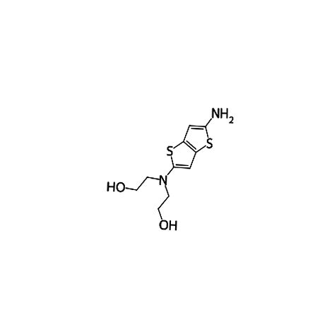 Nc1cc2sc(N(CCO)CCO)cc2s1